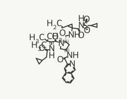 C=CC1CC1(NC(=O)[C@@H]1C[C@@H](NC(=O)c2cc3ccccc3cn2)CN1C(=O)[C@@H](NC(=O)CC1CC1)C(C)(C)C)C(=O)NS(=O)(=O)C1CC1